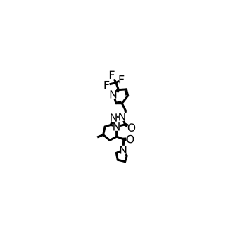 CC1Cc2nn(Cc3ccc(C(F)(F)F)nc3)c(=O)n2C(C(=O)N2CCCC2)C1